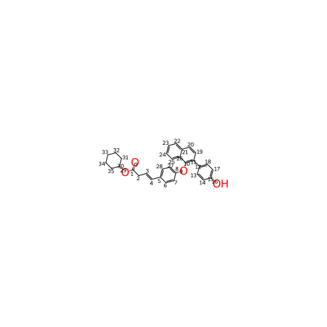 O=C(CC=Cc1ccc(Oc2c(-c3ccc(O)cc3)ccc3ccccc23)cc1)OC1CCCCC1